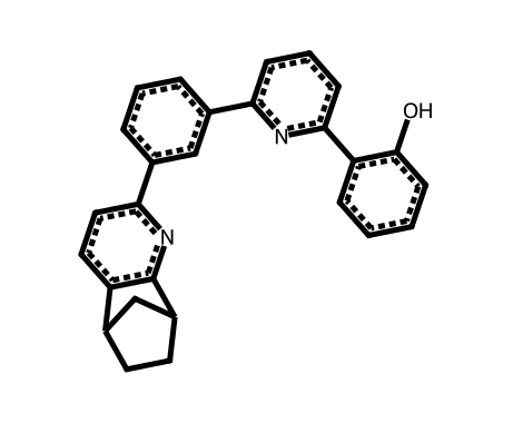 Oc1ccccc1-c1cccc(-c2cccc(-c3ccc4c(n3)C3CCC4C3)c2)n1